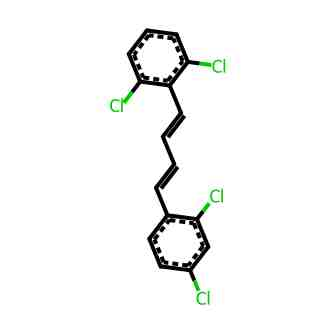 Clc1ccc(C=CC=Cc2c(Cl)cccc2Cl)c(Cl)c1